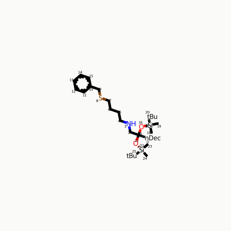 CCCCCCCCCCC(CNCCCCSCc1ccccc1)(O[Si](C)(C)C(C)(C)C)O[Si](C)(C)C(C)(C)C